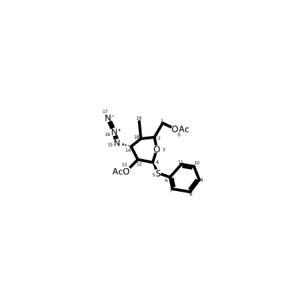 CC(=O)OCC1O[C@@H](Sc2ccccc2)C(OC(C)=O)[C@H](N=[N+]=[N-])C1C